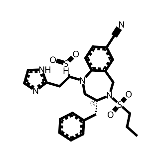 CCCS(=O)(=O)N1Cc2cc(C#N)ccc2N(C(Cc2ncc[nH]2)[SH](=O)=O)C[C@H]1Cc1ccccc1